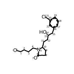 [O]CCCCN1C(=O)CCC1CC[C@@H](O)Cc1cccc(Cl)c1